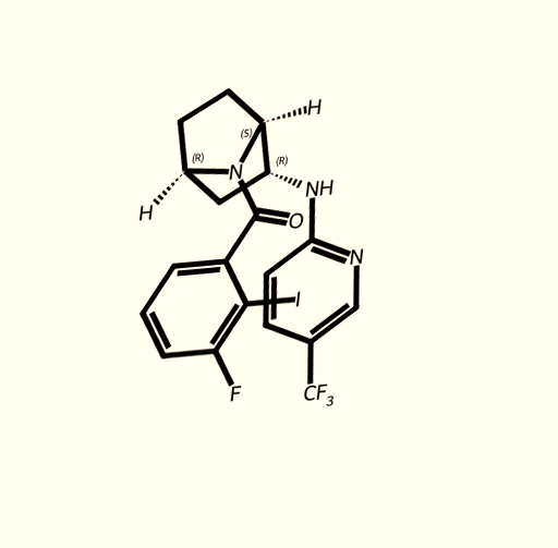 O=C(c1cccc(F)c1I)N1[C@@H]2CC[C@H]1[C@H](Nc1ccc(C(F)(F)F)cn1)C2